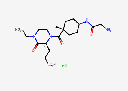 C[C@]1(C(=O)N2CCN(CC(=O)O)C(=O)[C@@H]2CCC(=O)O)CC[C@H](NC(=O)CN)CC1.Cl